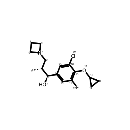 C[C@H](CN1CCC1)[C@H](O)c1cc(F)c(OC2CC2)c(Cl)c1